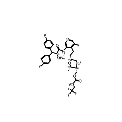 C[C@@H]1O[C@H](CCc2c(F)cncc2NC(=O)[C@@H](N)C(c2ccc(F)cc2)c2ccc(F)cc2)CN[C@@H]1COC(=O)NCC(F)(F)F